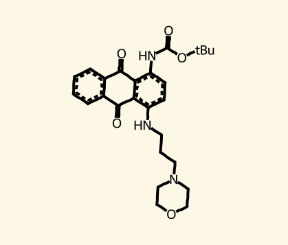 CC(C)(C)OC(=O)Nc1ccc(NCCCN2CCOCC2)c2c1C(=O)c1ccccc1C2=O